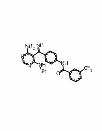 CC(C)Nc1ncnc(N)c1C(=N)c1ccc(NC(=O)c2cccc(C(F)(F)F)c2)cc1